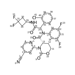 N#Cc1ccnc(N2C(=O)OCC[C@H]2C(=O)N(c2cc(F)cc(F)c2)C(C(=O)NC2CC(F)(F)C2)c2ccccc2Cl)c1